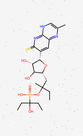 CCC(C)(C[C@H]1O[C@@H](c2cc3nc(C)c[nH]c-3nc2=S)[C@@H](O)C1O)OP(=O)(O)C(O)(CC)CC